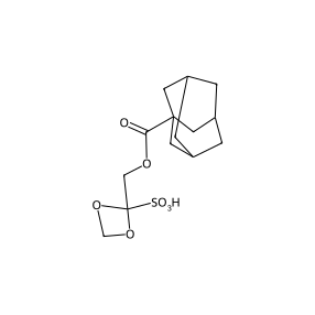 O=C(OCC1(S(=O)(=O)O)OCO1)C12CC3CC(CC(C3)C1)C2